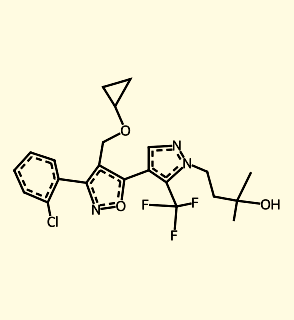 CC(C)(O)CCn1ncc(-c2onc(-c3ccccc3Cl)c2COC2CC2)c1C(F)(F)F